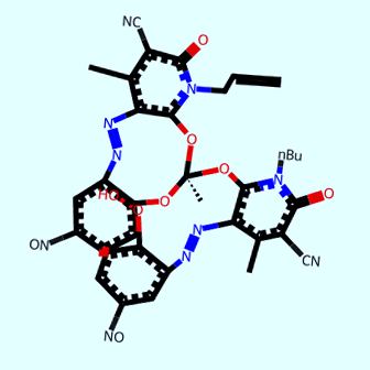 C=CCn1c2c(c(C)c(C#N)c1=O)/N=N/c1cc(N=O)ccc1O[C@](C)(Oc1c(/N=N/c3cc(N=O)ccc3OO)c(C)c(C#N)c(=O)n1CCCC)O2